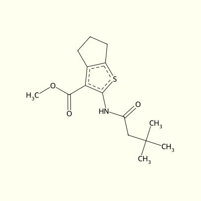 COC(=O)c1c(NC(=O)CC(C)(C)C)sc2c1CCC2